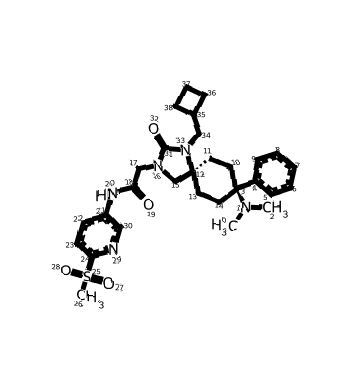 CN(C)[C@]1(c2ccccc2)CC[C@]2(CC1)CN(CC(=O)Nc1ccc(S(C)(=O)=O)nc1)C(=O)N2CC1CCC1